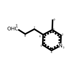 Cc1cnccc1CCC=O